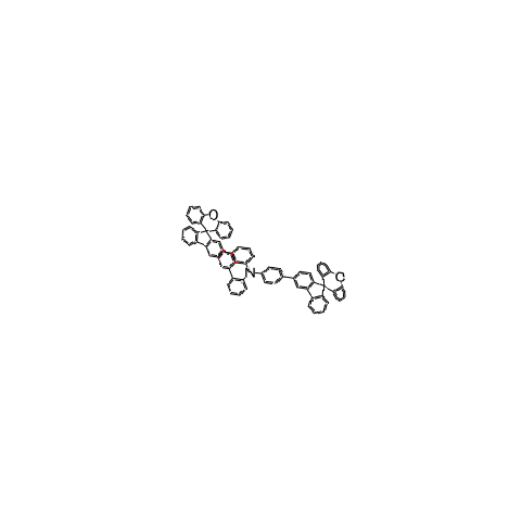 c1ccc(-c2ccccc2N(c2ccc(-c3ccc4c(c3)-c3ccccc3C43c4ccccc4Oc4ccccc43)cc2)c2cccc(-c3ccc4c(c3)C3(c5ccccc5Oc5ccccc53)c3ccccc3-4)c2)cc1